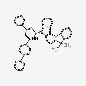 CC1(C)c2ccccc2-c2c1ccc1c2c2ccccc2n1C1C=C(c2ccccc2)C=C(c2ccc(-c3ccccc3)cc2)N1